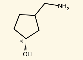 NCC1CC[C@@H](O)C1